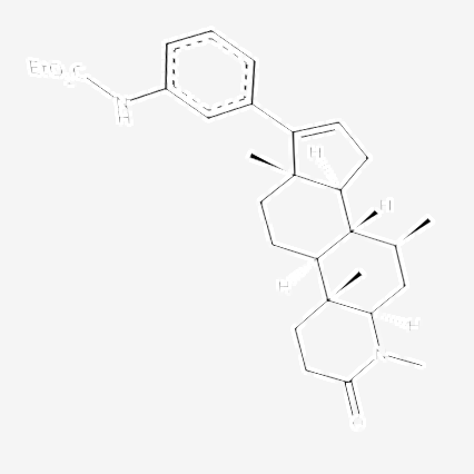 CCOC(=O)Nc1cccc(C2=CC[C@H]3[C@@H]4[C@@H](C)C[C@H]5N(C)C(=O)CC[C@]5(C)[C@H]4CC[C@]23C)c1